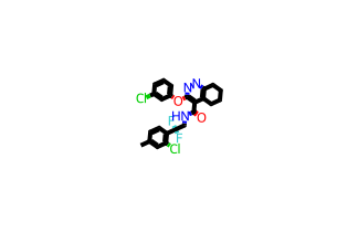 Cc1ccc(C(F)(F)CNC(=O)c2c(Oc3cccc(Cl)c3)nnc3c2CCCC3)c(Cl)c1